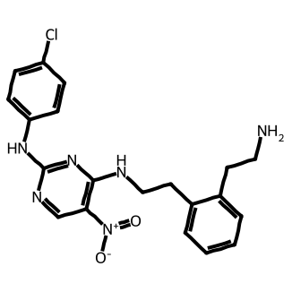 NCCc1ccccc1CCNc1nc(Nc2ccc(Cl)cc2)ncc1[N+](=O)[O-]